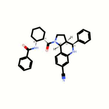 N#Cc1ccc2c(c1)N[C@H](c1ccccc1)[C@@H]1CCN(C(=O)[C@H]3CCCC[C@H]3NC(=O)c3ccccc3)[C@H]21